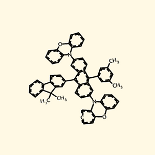 Cc1cc(C)cc(-c2c3ccc(N4c5ccccc5Oc5ccccc54)cc3c(-c3ccc4c(c3)C(C)(C)c3ccccc3-4)c3ccc(N4c5ccccc5Oc5ccccc54)cc23)c1